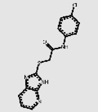 O=C(CSc1nc2cccnc2[nH]1)Nc1ccc(Cl)cc1